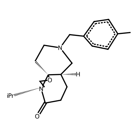 Cc1ccc(CN2CC[C@]34OC[C@H](C(C)C)N3C(=O)CC[C@@H]4C2)cc1